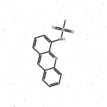 CS(=O)(=O)Nc1cccc2cc3ccccc3nc12